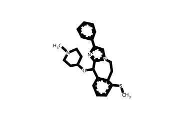 CSc1cccc2c1CCn1cc(-c3ccccc3)nc1C2OC1CCN(C)CC1